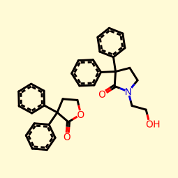 O=C1N(CCO)CCC1(c1ccccc1)c1ccccc1.O=C1OCCC1(c1ccccc1)c1ccccc1